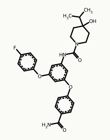 CC(C)C1(O)CCN(C(=O)Nc2cc(Oc3ccc(F)cc3)cc(Oc3ccc(C(N)=O)cc3)c2)CC1